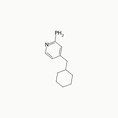 Pc1cc(CC2CCCCC2)ccn1